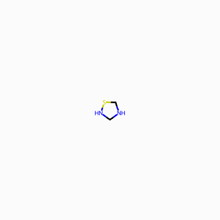 C1NCSN1